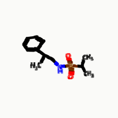 CC(CNS(=O)(=O)C(C)C)c1ccccc1